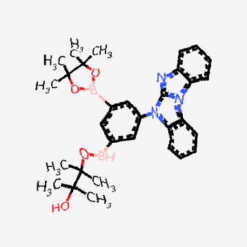 CC(C)(O)C(C)(C)OBc1cc(B2OC(C)(C)C(C)(C)O2)cc(-n2c3ccccc3n3c4ccccc4nc23)c1